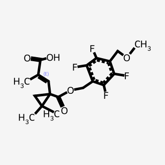 COCc1c(F)c(F)c(COC(=O)C2(/C=C(\C)C(=O)O)CC2(C)C)c(F)c1F